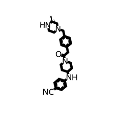 C[C@H]1CN(Cc2ccc(CC(=O)N3CCC(Nc4ccc(C#N)cc4)CC3)cc2)CCN1